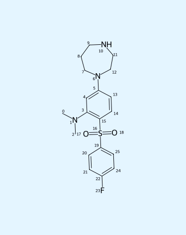 CN(C)c1cc(N2CCCNCC2)ccc1S(=O)(=O)c1ccc(F)cc1